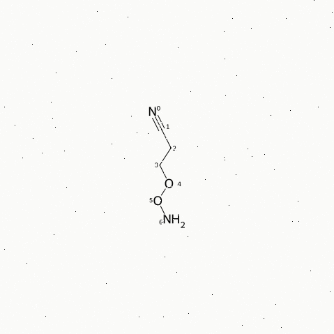 N#CCCOON